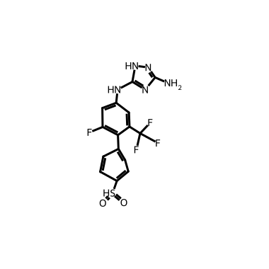 Nc1n[nH]c(Nc2cc(F)c(-c3ccc([SH](=O)=O)cc3)c(C(F)(F)F)c2)n1